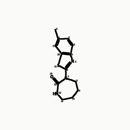 Cc1ccc2nc(N3CCCCNC3=O)sc2c1